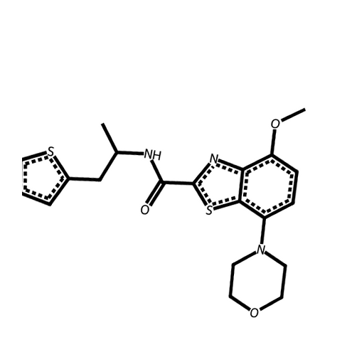 COc1ccc(N2CCOCC2)c2sc(C(=O)NC(C)Cc3cccs3)nc12